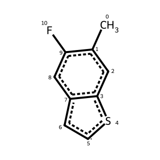 Cc1cc2s[c]cc2cc1F